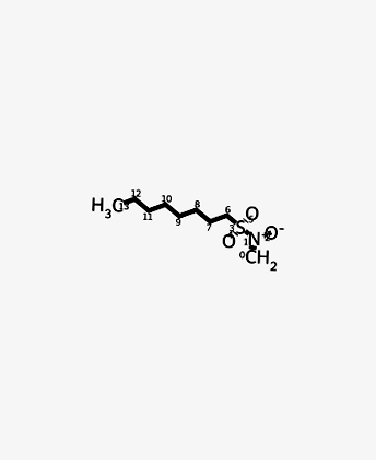 C=[N+]([O-])S(=O)(=O)CCCCCCCC